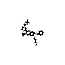 COCCCOc1cc(CN(C(=O)C2CN(C(=O)OC(C)(C)C)CCO2)C2CC2)ccc1OCc1ccccc1